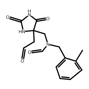 Cc1ccccc1CN(C=O)CC1(CC=O)NC(=O)NC1=O